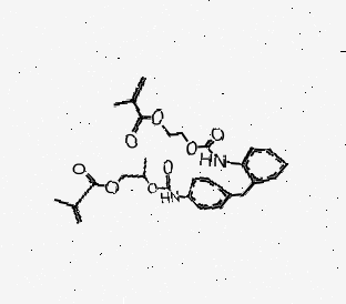 C=C(C)C(=O)OCCOC(=O)Nc1ccccc1Cc1ccc(NC(=O)OC(C)COC(=O)C(=C)C)cc1